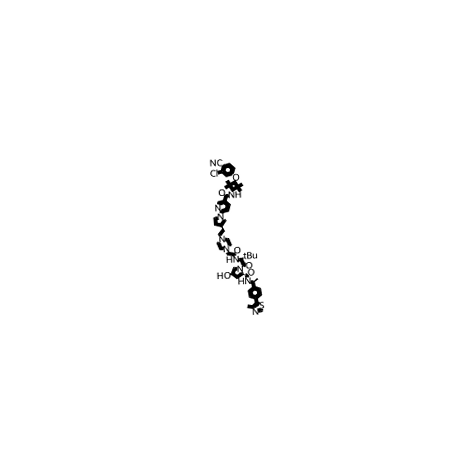 Cc1ncsc1-c1ccc([C@H](C)NC(=O)[C@@H]2C[C@@H](O)CN2C(=O)[C@@H](NC(=O)CN2CCN(CC[C@H]3CCN(c4ccc(C(=O)N[C@H]5C(C)(C)[C@H](Oc6ccc(C#N)c(Cl)c6)C5(C)C)cn4)C3)CC2)C(C)(C)C)cc1